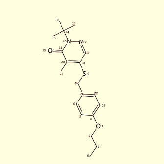 CCCOc1ccc(CSc2cnn(C(C)(C)C)c(=O)c2C)cc1